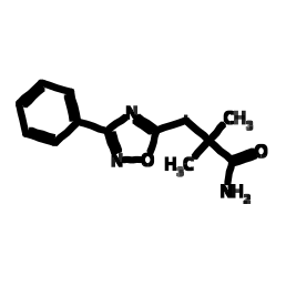 CC(C)([CH]c1nc(-c2ccccc2)no1)C(N)=O